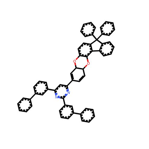 C1=CC2Oc3c(ccc4c3-c3ccccc3C4(c3ccccc3)c3ccccc3)OC2C=C1c1cc(-c2cccc(-c3ccccc3)c2)nc(-c2cccc(-c3ccccc3)c2)n1